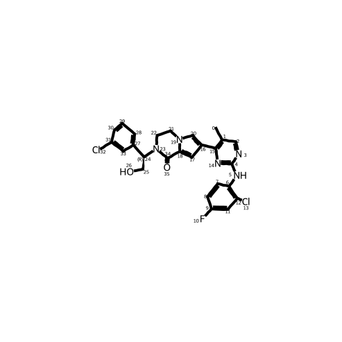 Cc1cnc(Nc2ccc(F)cc2Cl)nc1-c1cc2n(c1)CCN([C@@H](CO)c1cccc(Cl)c1)C2=O